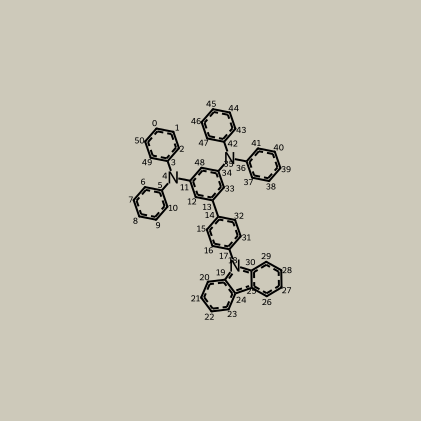 c1ccc(N(c2ccccc2)c2cc(-c3ccc(-n4c5ccccc5c5ccccc54)cc3)cc(N(c3ccccc3)c3ccccc3)c2)cc1